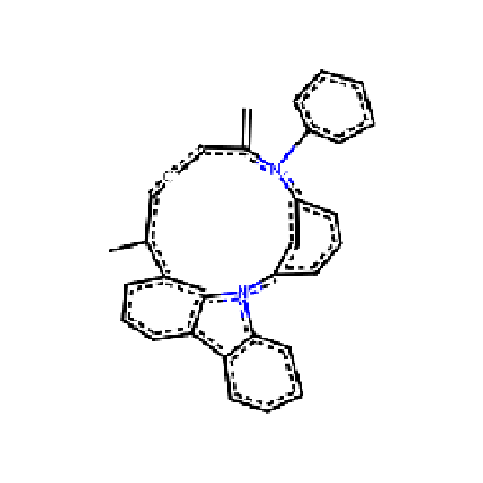 C=c1cccc(C)c2cccc3c4ccccc4n(c4cccc(c4)n1-c1ccccc1)c23